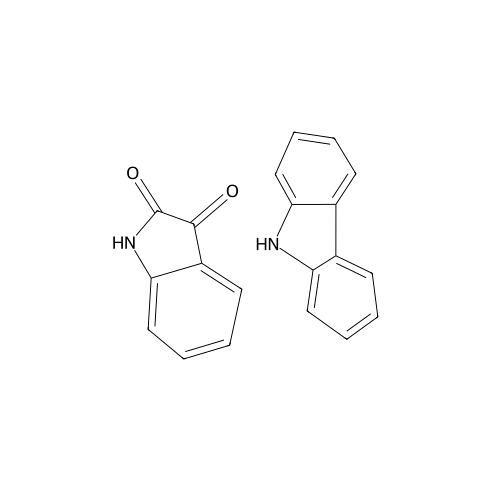 O=C1Nc2ccccc2C1=O.c1ccc2c(c1)[nH]c1ccccc12